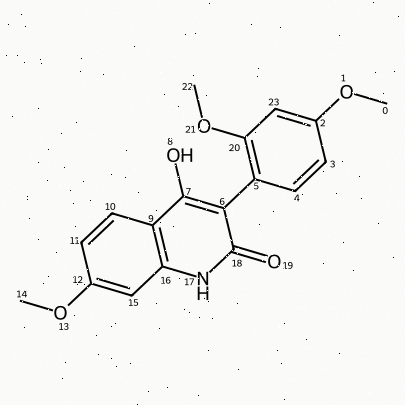 COc1ccc(-c2c(O)c3ccc(OC)cc3[nH]c2=O)c(OC)c1